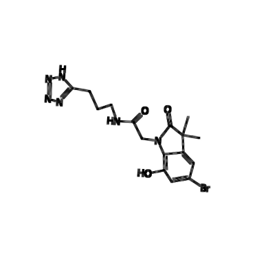 CC1(C)C(=O)N(CC(=O)NCCCc2nnn[nH]2)c2c(O)cc(Br)cc21